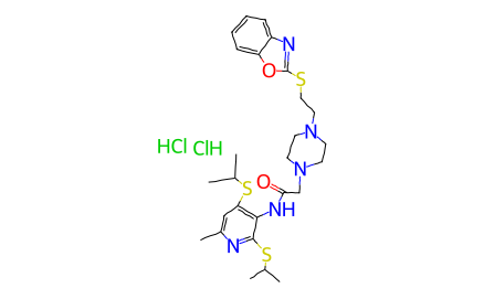 Cc1cc(SC(C)C)c(NC(=O)CN2CCN(CCSc3nc4ccccc4o3)CC2)c(SC(C)C)n1.Cl.Cl